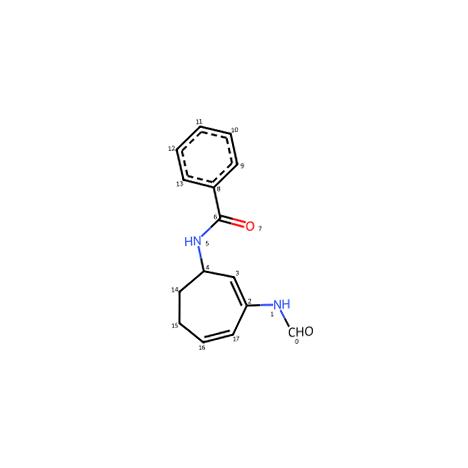 O=CNC1=CC(NC(=O)c2ccccc2)CCC=C1